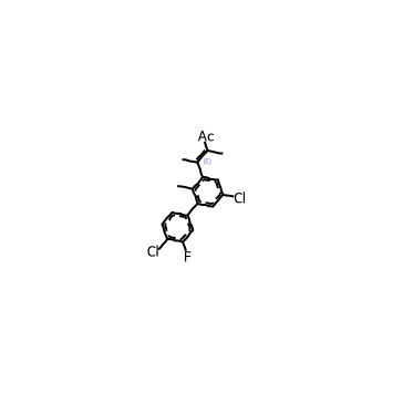 CC(=O)/C(C)=C(\C)c1cc(Cl)cc(-c2ccc(Cl)c(F)c2)c1C